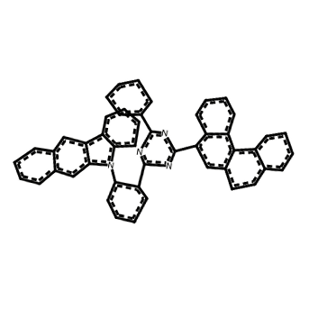 c1ccc(-c2nc(-c3ccccc3-n3c4ccccc4c4cc5ccccc5cc43)nc(-c3cc4ccc5ccccc5c4c4ccccc34)n2)cc1